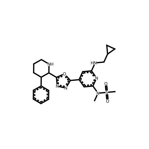 CN(c1cc(-c2nnc(C3NCCCC3c3ccccc3)o2)cc(NCC2CC2)n1)S(C)(=O)=O